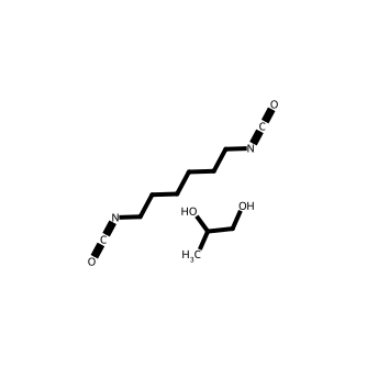 CC(O)CO.O=C=NCCCCCCN=C=O